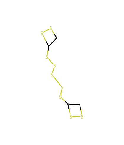 C1SSC1SSSSSC1CSS1